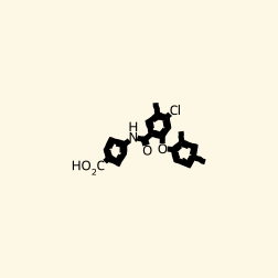 Cc1ccc(Oc2cc(Cl)c(C)cc2C(=O)Nc2ccc(C(=O)O)cc2)c(C)c1